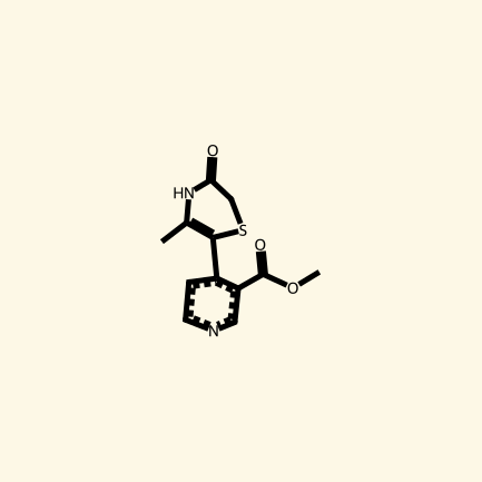 COC(=O)c1cnccc1C1=C(C)NC(=O)CS1